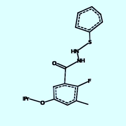 Cc1cc(OC(C)C)cc(C(=O)NNSc2ccccc2)c1F